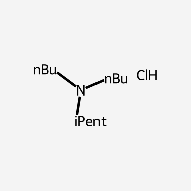 CCCCN(CCCC)C(C)CCC.Cl